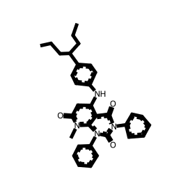 CCCC(CCC)c1ccc(Nc2cc(=O)n(C)c3c2c(=O)n(-c2ccccc2)c(=O)n3-c2ccccc2)cc1